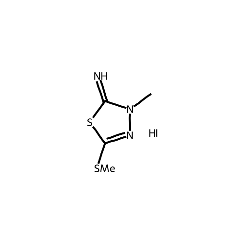 CSc1nn(C)c(=N)s1.I